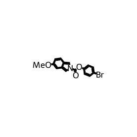 COc1ccc2cn(C(=O)Oc3ccc(Br)cc3)cc2c1